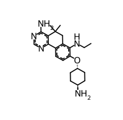 CCNc1c(O[C@H]2CC[C@H](N)CC2)ccc2c1CC(C)(C)c1c(N)ncnc1-2